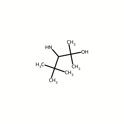 CC(C)(C)C([NH])C(C)(C)O